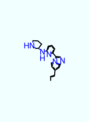 C/C=C/c1ccn2c(-c3cccc(N[C@@H]4CCCNC4)n3)cnc2c1